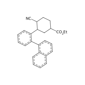 CCOC(=O)C1CCC(C#N)C(c2ccccc2-c2cccc3ccccc23)C1